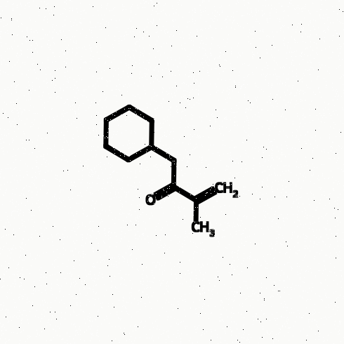 C=C(C)C(=O)CC1CCCCC1